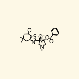 CN1CC(OC(=O)c2ccccc2)[N+]([O-])(c2nc3c(s2)C(=O)CC(C)(C)C3)C1